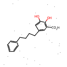 O=C(O)c1cc(CCCCc2ccccc2)cc(O)c1O